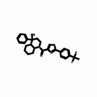 O=C(c1csc(-c2ccc(C(F)(F)F)cc2)n1)N1CCC(O)(c2ccccc2)C2CCCCC21